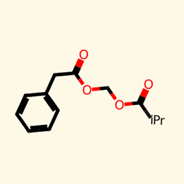 CC(C)C(=O)OCOC(=O)Cc1ccccc1